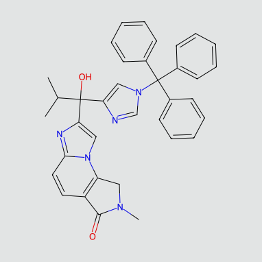 CC(C)C(O)(c1cn(C(c2ccccc2)(c2ccccc2)c2ccccc2)cn1)c1cn2c3c(ccc2n1)C(=O)N(C)C3